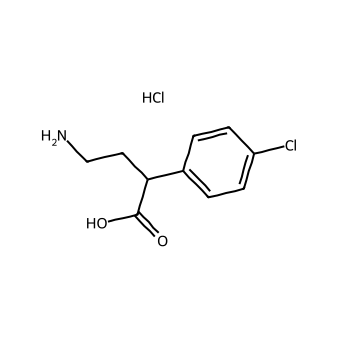 Cl.NCCC(C(=O)O)c1ccc(Cl)cc1